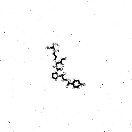 N=C(N)NCCC[C@@H](NC(=O)[C@@H]1CCCN1C(=O)CNC(=O)c1ccc(Br)cc1)C(=O)CF